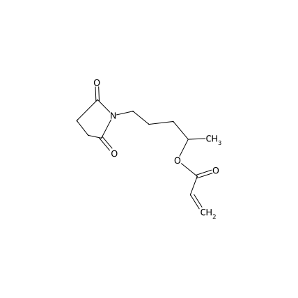 C=CC(=O)OC(C)CCCN1C(=O)CCC1=O